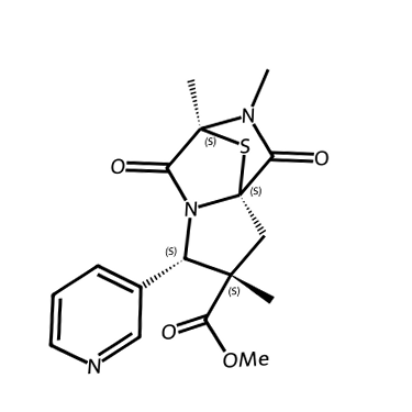 COC(=O)[C@@]1(C)C[C@@]23S[C@@](C)(C(=O)N2[C@H]1c1cccnc1)N(C)C3=O